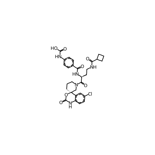 O=C(O)Nc1ccc(C(=O)N[C@@H](CCNC(=O)C2CCC2)C(=O)N2CCC[C@@]3(C2)OC(=O)Nc2ccc(Cl)cc23)cc1